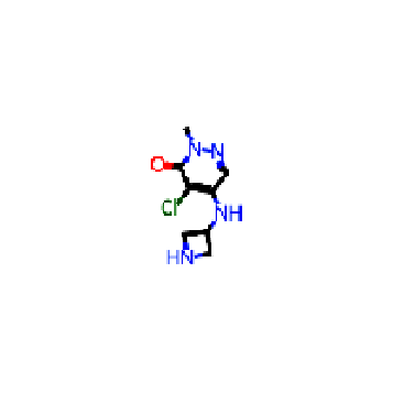 Cn1ncc(NC2CNC2)c(Cl)c1=O